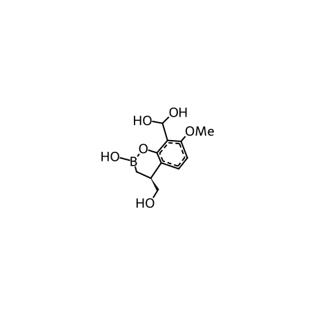 COc1ccc2c(c1C(O)O)OB(O)C[C@@H]2CO